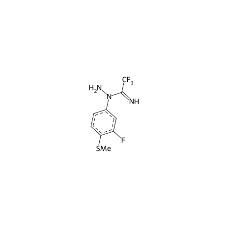 CSc1ccc(N(N)C(=N)C(F)(F)F)cc1F